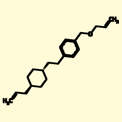 C=CCOCc1ccc(CC[C@H]2CC[C@H](CC=C)CC2)cc1